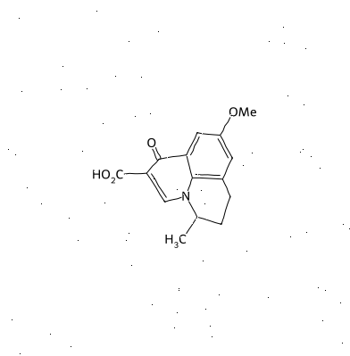 COc1cc2c3c(c1)c(=O)c(C(=O)O)cn3C(C)CC2